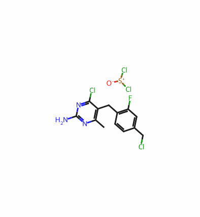 Cc1nc(N)nc(Cl)c1Cc1ccc(CCl)cc1F.[O-][S+](Cl)Cl